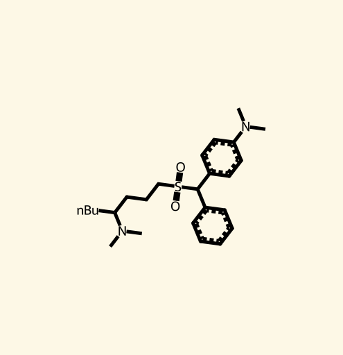 CCCCC(CCCS(=O)(=O)C(c1ccccc1)c1ccc(N(C)C)cc1)N(C)C